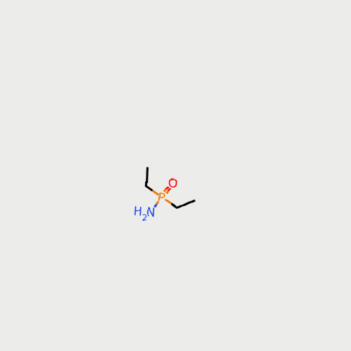 CCP(N)(=O)CC